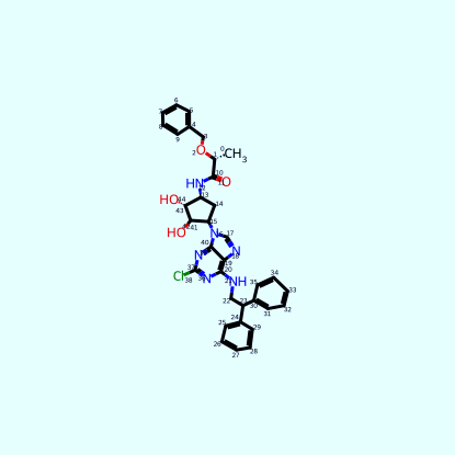 C[C@@H](OCc1ccccc1)C(=O)N[C@H]1CC(n2cnc3c(NCC(c4ccccc4)c4ccccc4)nc(Cl)nc32)C(O)[C@@H]1O